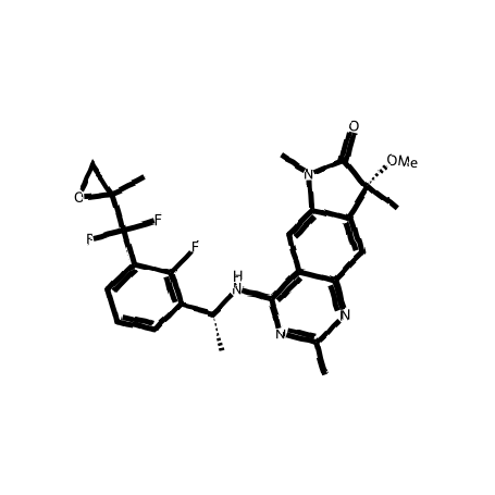 CO[C@@]1(C)C(=O)N(C)c2cc3c(N[C@H](C)c4cccc(C(F)(F)C5(C)CO5)c4F)nc(C)nc3cc21